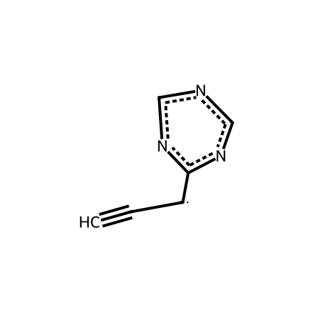 C#C[CH]c1ncncn1